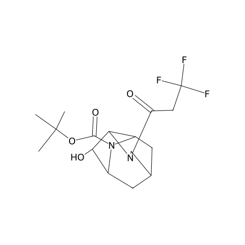 CC(C)(C)OC(=O)N1C2CC3CC1C(C2O)N(C(=O)CC(F)(F)F)C3